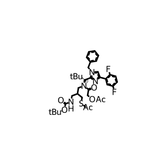 CC(=O)OCC(=O)N(CC(CNC(=O)OC(C)(C)C)CSC(C)=O)[C@@H](c1nc(-c2cc(F)ccc2F)cn1Cc1ccccc1)C(C)(C)C